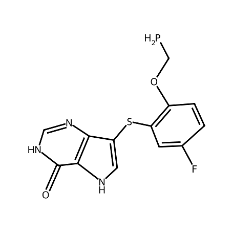 O=c1[nH]cnc2c(Sc3cc(F)ccc3OCP)c[nH]c12